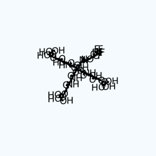 O=C(CCCCO[C@H]1C[C@@H](O)[C@@H](O)[C@@H](CO)O1)NCCCNC(=O)CCOCC(COCCC(=O)NCCCNC(=O)CCCCO[C@H]1C[C@@H](O)[C@@H](O)[C@@H](CO)O1)(COCCC(=O)NCCCNC(=O)CCCCO[C@H]1C[C@@H](O)[C@@H](O)[C@@H](CO)O1)NC(=O)CCc1cn(CCOCCC(=O)Oc2c(F)c(F)c(F)c(F)c2F)nn1